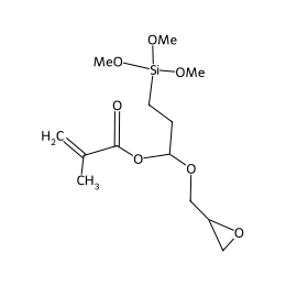 C=C(C)C(=O)OC(CC[Si](OC)(OC)OC)OCC1CO1